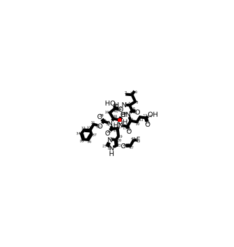 CC(C)CC(N)C(=O)NC(CCC(=O)O)C(=O)NC(Cc1c[nH]cn1)C(=O)N(C(=O)OCc1ccccc1)C(CC(=O)O)C(=O)O.O=CCF